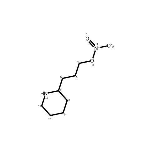 O=[N+]([O-])OCCCC1CCC[CH]N1